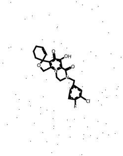 O=C1c2c(O)c(=O)c3c(n2CCN1Cc1ccc(F)c(Cl)c1)COC31C=CCCC1